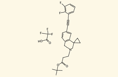 CC(C)(C)OC(=O)CCN1Cc2ccc(C#Cc3cccc(F)c3F)cc2C2(CC2)C1.O=C(O)C(F)(F)F